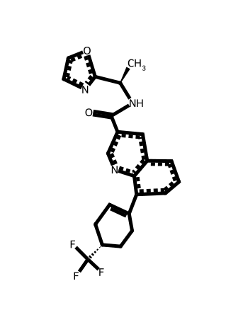 C[C@@H](NC(=O)c1cnc2c(C3=CC[C@@H](C(F)(F)F)CC3)cccc2c1)c1ncco1